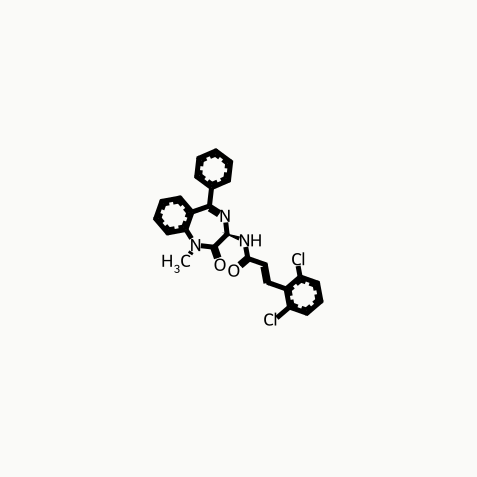 CN1C(=O)[C@H](NC(=O)C=Cc2c(Cl)cccc2Cl)N=C(c2ccccc2)c2ccccc21